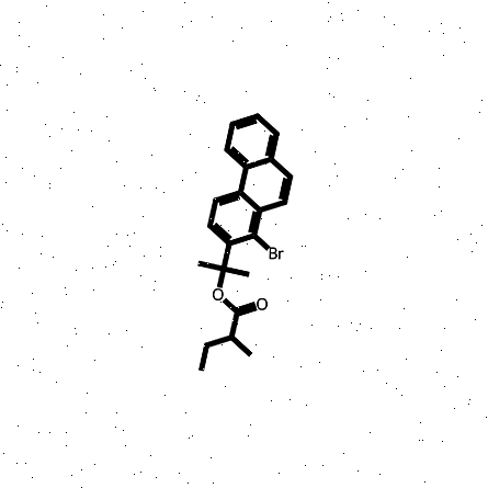 CCC(C)C(=O)OC(C)(C)c1ccc2c(ccc3ccccc32)c1Br